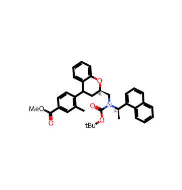 COC(=O)c1ccc(C2C[C@H](CN(C(=O)OC(C)(C)C)[C@H](C)c3cccc4ccccc34)Oc3ccccc32)c(C)c1